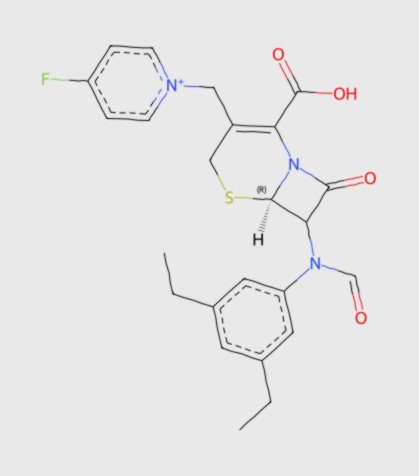 CCc1cc(CC)cc(N(C=O)C2C(=O)N3C(C(=O)O)=C(C[n+]4ccc(F)cc4)CS[C@H]23)c1